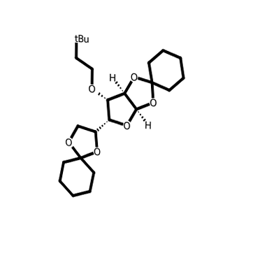 CC(C)(C)CCO[C@@H]1[C@H]2OC3(CCCCC3)O[C@H]2O[C@@H]1C1COC2(CCCCC2)O1